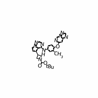 Cc1cc(Nc2ncnn3ccc(C4CN(C(=O)OC(C)(C)C)C4)c23)ccc1Oc1cc2ncnn2cn1